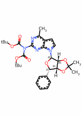 Cc1nc(N(C(=O)OC(C)(C)C)C(=O)OC(C)(C)C)nc2c1ccn2[C@@H]1O[C@@H](c2ccccc2)[C@H]2OC(C)(C)O[C@H]21